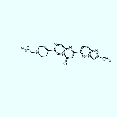 CCN1CC=C(c2cn3c(=O)cc(-c4ccc5nc(C)cn5n4)nc3cn2)CC1